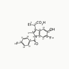 CCC(C(=O)O)c1c(C)n(C(=O)c2ccc(F)cc2)c2cc(F)c(O)cc12